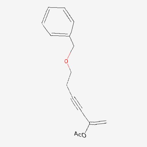 C=C(C#CCCOCc1ccccc1)OC(C)=O